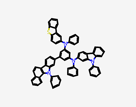 c1ccc(N(c2cc(-c3ccc4c5ccc6ccccc6c5n(-c5ccccc5)c4c3)cc(N(c3ccccc3)c3ccc4c5ccccc5n(-c5ccccc5)c4c3)c2)c2ccc3sc4ccccc4c3c2)cc1